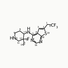 FC(F)(F)Cc1cc2c(NC3CCNCC3(F)F)ncnc2s1